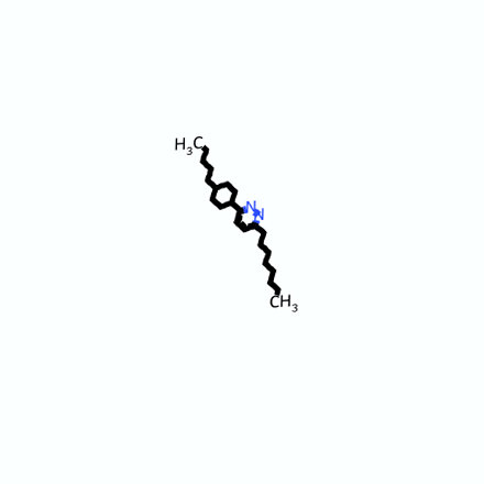 CCCCCCCCc1ccc(C2CCC(CCCCC)CC2)nn1